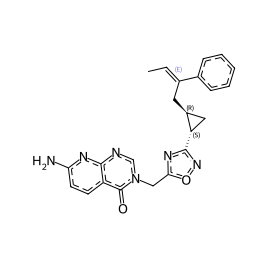 C/C=C(\C[C@H]1C[C@@H]1c1noc(Cn2cnc3nc(N)ccc3c2=O)n1)c1ccccc1